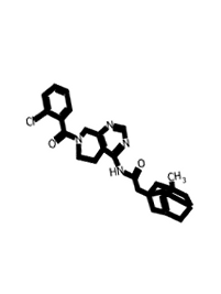 CC12C=C3CC(C1)CC(CC(=O)Nc1ncnc4c1CCN(C(=O)c1ccccc1Cl)C4)(C3)C2